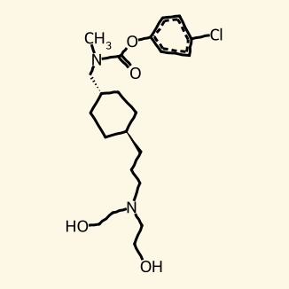 CN(C[C@H]1CC[C@H](CCCN(CCO)CCO)CC1)C(=O)Oc1ccc(Cl)cc1